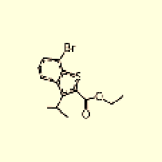 CCOC(=O)c1sc2c(Br)cccc2c1C(C)C